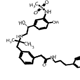 CC(C)(Cc1cccc(CC(=O)NCCCc2ccccc2)c1)NC[C@H](O)c1ccc(O)c(NS(C)(=O)=O)c1